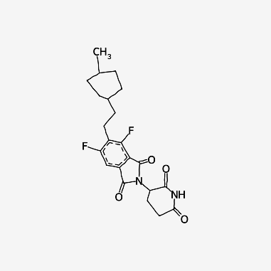 CC1CCC(CCc2c(F)cc3c(c2F)C(=O)N(C2CCC(=O)NC2=O)C3=O)CC1